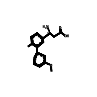 COc1cccc(-c2cc([C@@H](N)CC(=O)O)ccc2C)c1